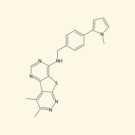 Cc1nnc2sc3c(NCc4ccc(-c5cccn5C)cc4)ncnc3c2c1C